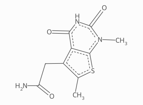 Cc1sc2c(c1CC(N)=O)c(=O)[nH]c(=O)n2C